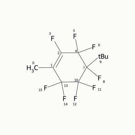 CC1=C(F)C(F)(F)C(F)(C(C)(C)C)C(F)(F)C1(F)F